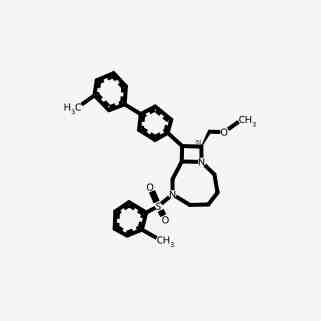 COC[C@@H]1C(c2ccc(-c3cccc(C)c3)cc2)C2CN(S(=O)(=O)c3ccccc3C)CCCCN21